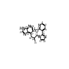 COc1ncccc1-c1nccn1CC(C)Cc1ccnc2[nH]cnc12